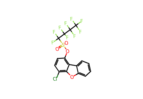 O=S(=O)(Oc1ccc(Cl)c2oc3ccccc3c12)C(F)(F)C(F)(F)C(F)(F)C(F)(F)F